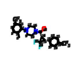 Cc1ccc(C(F)(F)F)cc1N1CCN(C(=O)[C@@H]2[C@H](c3ccc(C(F)(F)F)cc3)C2(F)F)CC1